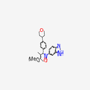 COC1=C(C)C(c2ccc(C3CCOCC3)cc2)N(c2ccc3nc[nH]c3c2)OC1